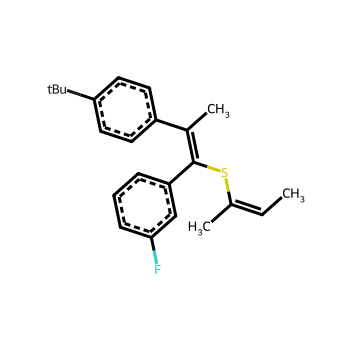 C/C=C(/C)S/C(=C(\C)c1ccc(C(C)(C)C)cc1)c1cccc(F)c1